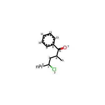 CCCC(Cl)CC(C)C(=O)c1ccccc1